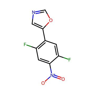 O=[N+]([O-])c1cc(F)c(-c2cnco2)cc1F